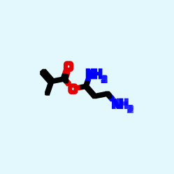 C=C(C)C(=O)OC(N)CCN